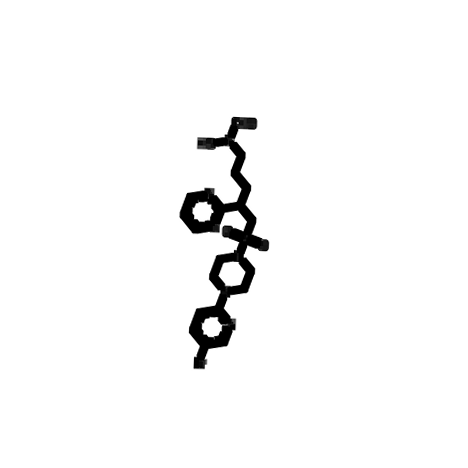 O=CN(O)CCCC(CS(=O)(=O)N1CCN(c2ccc(Br)cn2)CC1)c1ncccn1